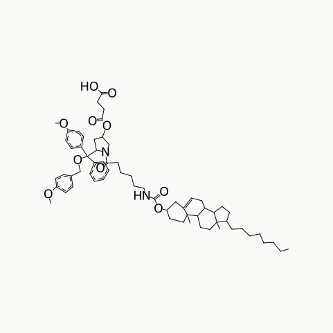 CCCCCCCCC1CCC2C3CC=C4CC(OC(=O)NCCCCCC(=O)N5CC(OC(=O)CCC(=O)O)CC5C(OCc5ccc(OC)cc5)(c5ccccc5)c5ccc(OC)cc5)CCC4(C)C3CCC12C